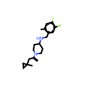 C=C(CC1(C)CC1)N1CCC(NCc2cc(F)c(F)cc2C)CC1